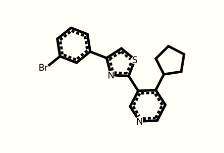 Brc1cccc(-c2csc(-c3cnccc3C3CCCC3)n2)c1